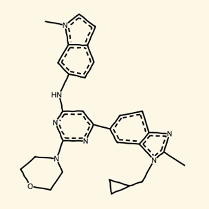 Cc1nc2ccc(-c3cc(Nc4ccc5ccn(C)c5c4)nc(N4CCOCC4)n3)cc2n1CC1CC1